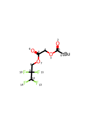 CC(C)(C)C(=O)OCC(=O)OCC(F)(F)C(F)F